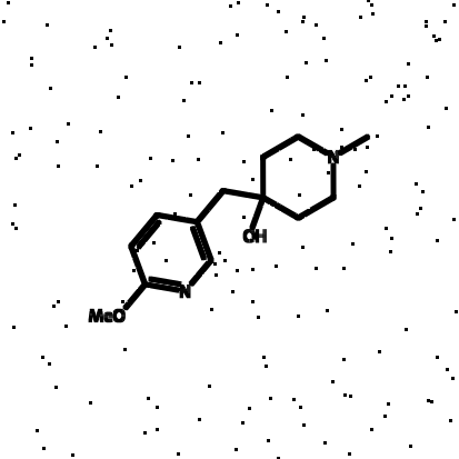 COc1ccc(CC2(O)CCN(C)CC2)cn1